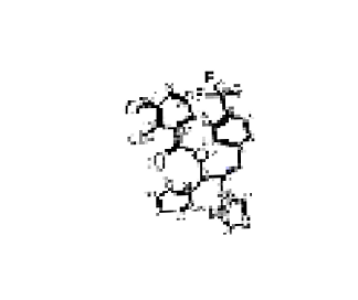 O=C(OC(/C(=C\c1ccc(C(F)(F)F)cc1)n1cncn1)c1ccccc1)c1cccc(Cl)c1Cl